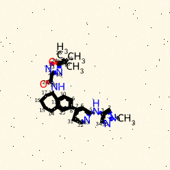 Cn1cc(Nc2cc(-c3ccc4c(c3)CCCC[C@@H]4NC(=O)c3noc(C(C)(C)C)n3)ccn2)cn1